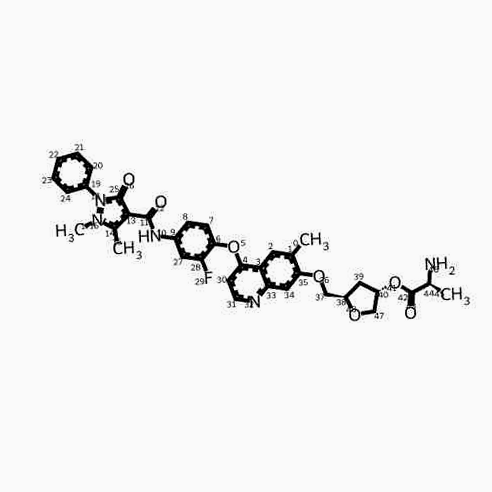 Cc1cc2c(Oc3ccc(NC(=O)c4c(C)n(C)n(-c5ccccc5)c4=O)cc3F)ccnc2cc1OC[C@H]1C[C@H](OC(=O)[C@H](C)N)CO1